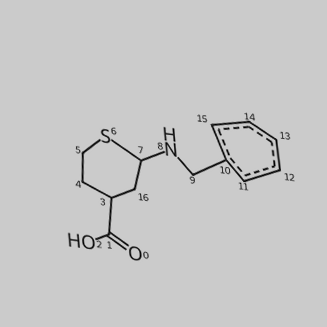 O=C(O)C1CCSC(NCc2ccccc2)C1